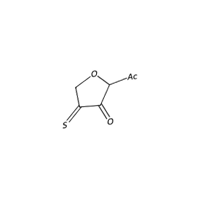 CC(=O)C1OCC(=S)C1=O